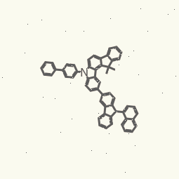 CC1(C)c2ccccc2-c2ccc3c(c21)c1cc(-c2ccc4c(c2)-c2ccccc2C4c2cccc4ccccc24)ccc1n3-c1ccc(-c2ccccc2)cc1